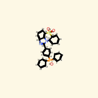 O=P(c1ccccc1)(c1ccccc1)c1ccc(-c2nc3cccc4c3n2-c2ccccc2S4(=O)=O)cc1